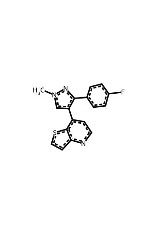 Cn1cc(-c2ccnc3ccsc23)c(-c2ccc(F)cc2)n1